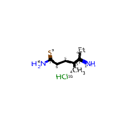 CCC(=N)C(C)CCC(N)=S.Cl